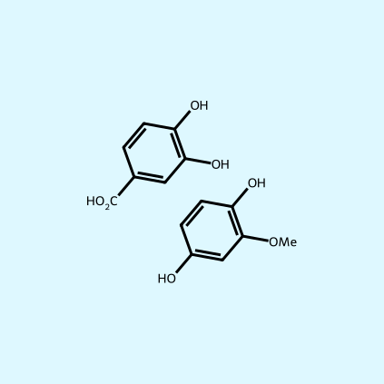 COc1cc(O)ccc1O.O=C(O)c1ccc(O)c(O)c1